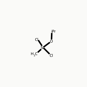 CC(C)O[Si](C)(Cl)Cl